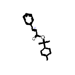 CC1=CCC(C(C)(C)OC(=O)/C=C/c2ccccc2)CC1